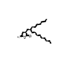 CCCCCCCCCC(CCCCCCC)CC1CC(=O)OC1=O